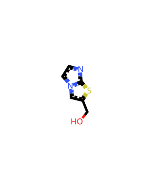 OCc1cn2ccnc2s1